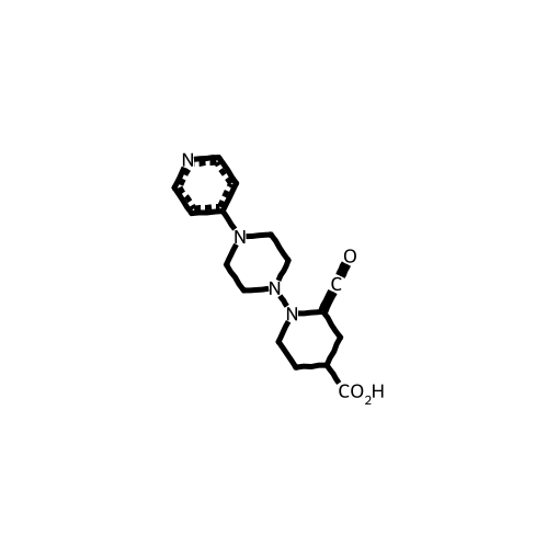 O=C=C1CC(C(=O)O)CCN1N1CCN(c2ccncc2)CC1